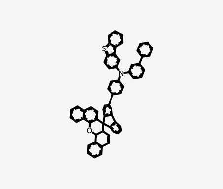 C1=CC2C(Oc3c(ccc4ccccc34)C23c2ccccc2-c2cc(-c4ccc(N(c5cccc(-c6ccccc6)c5)c5ccc6sc7ccccc7c6c5)cc4)ccc23)c2ccccc21